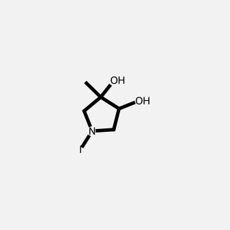 CC1(O)CN(I)CC1O